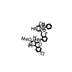 COC(=O)N[C@H](C(=O)Nc1cccc(F)c1CC[C@H]1CNC[C@H](C)N1S(=O)(=O)c1ccccc1)C(c1ccc(Cl)cc1)C(C)C